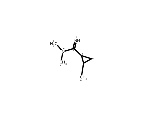 CC1CC1C(=N)N(C)C